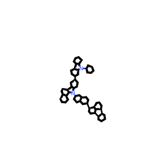 c1ccc(-n2c3ccccc3c3ccc(-c4ccc5c(c4)c4ccc6ccccc6c4n5-c4ccc5cc(-c6ccc7c8c(cccc68)-c6ccccc6-7)ccc5c4)cc32)cc1